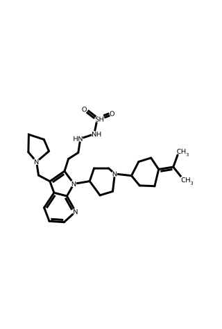 CC(C)=C1CCC(N2CCC(n3c(CCNN[SH](=O)=O)c(CN4CCCC4)c4cccnc43)CC2)CC1